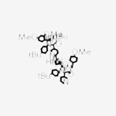 COc1ccc(CNC(=O)C(c2cccnc2)N(C(=O)c2c[nH]c(-c3ccc(C(C(=O)NC(C)(C)C)N(C(=O)c4ccc(OC)cc4OC)c4ccc(C(C)(C)C)cc4)cn3)n2)c2ccc(C(C)(C)C)cc2)cc1